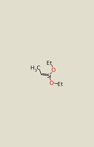 CC=[Si](OCC)OCC